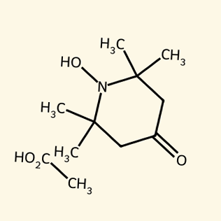 CC(=O)O.CC1(C)CC(=O)CC(C)(C)N1O